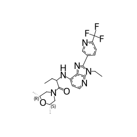 CCC(Nc1ccnc2c1nc(-c1ccc(C(F)(F)F)nc1)n2CC)C(=O)N1C[C@@H](C)O[C@@H](C)C1